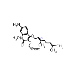 CCCC(C)COc1c(OC/C=C(\C)CCC=C(C)C)c2ccc(N)cc2n(C)c1=O